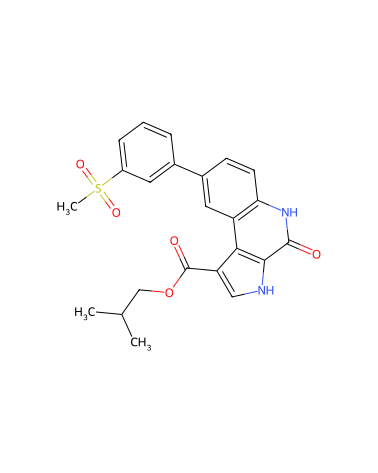 CC(C)COC(=O)c1c[nH]c2c(=O)[nH]c3ccc(-c4cccc(S(C)(=O)=O)c4)cc3c12